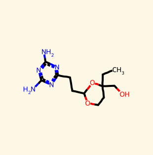 CCC1(CO)CCOC(CCc2nc(N)nc(N)n2)O1